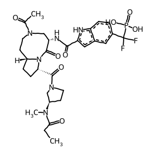 CCC(=O)N(C)[C@@H]1CCN(C(=O)[C@@H]2CC[C@@H]3CCN(C(C)=O)C[C@H](NC(=O)c4cc5cc(C(F)(F)P(=O)(O)O)ccc5[nH]4)C(=O)N32)C1